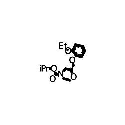 CCOc1ccccc1OC[C@@H]1CN(C(=O)OC(C)C)CCO1